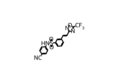 N#Cc1ccc(NS(=O)(=O)c2cccc(C=Cc3noc(C(F)(F)F)n3)c2)cc1